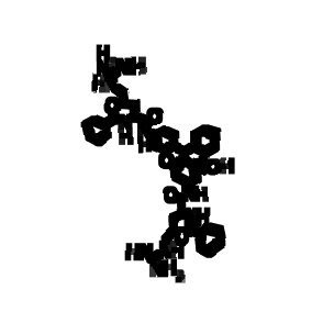 N=C(N)NCCCC(NC(=O)c1ccccc1)C(=O)Nc1ccc2c(c1)Oc1cc(NC(=O)C(CCCNC(=N)N)NC(=O)c3ccccc3)ccc1C2c1ccccc1C(=O)O